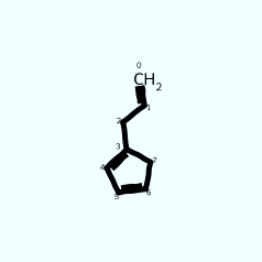 C=CCC1=CC=CC1